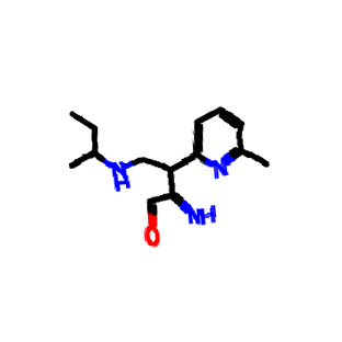 CCC(C)NCC(C(=N)C=O)c1cccc(C)n1